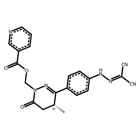 C[C@@H]1CC(=O)N(COC(=O)c2cccnc2)N=C1c1ccc(NN=C(C#N)C#N)cc1